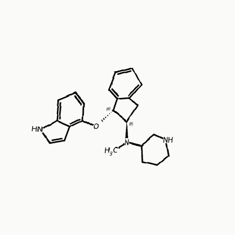 CN(C1CCCNC1)[C@@H]1Cc2ccccc2[C@H]1Oc1cccc2[nH]ccc12